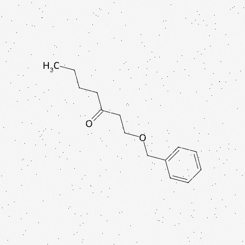 CCCCC(=O)CCOCc1ccccc1